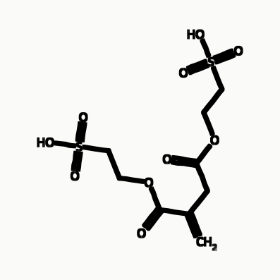 C=C(CC(=O)OCCS(=O)(=O)O)C(=O)OCCS(=O)(=O)O